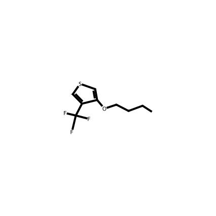 CCCCOc1cs[c]c1C(F)(F)F